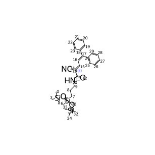 C[Si](C)(C)O[Si](C)(CCCNC(=O)/C(C#N)=C/C=C(c1ccccc1)c1ccccc1)O[Si](C)(C)C